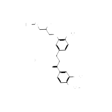 COc1ccc(C(=O)CCc2ccc(OC)c(OCC(O)CNC(C)C)c2)cc1OC.Cl